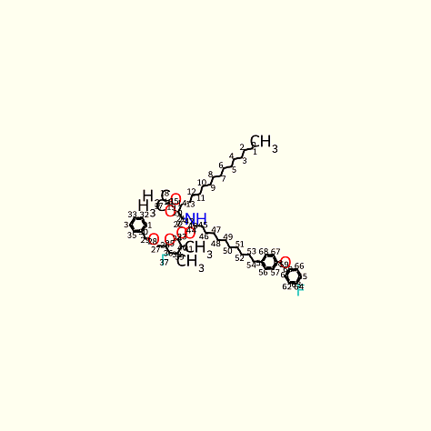 CCCCCCCCCCCCCC[C@H]1OC(C)(C)O[C@H]1[C@H](CO[C@H]1OC(COCc2ccccc2)[C@@H](F)[C@H](C)C1C)NC(=O)CCCCCCCCCCc1ccc(Oc2ccc(F)cc2)cc1